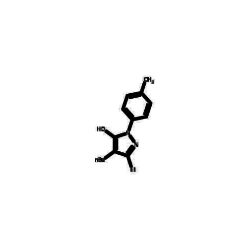 CCCCc1c(CC)nn(-c2ccc(C)cc2)c1O